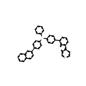 c1ccc(N(c2ccc(-c3ccc4ccccc4c3)cc2)c2ccc(-c3cccc4c3oc3cnccc34)cc2)cc1